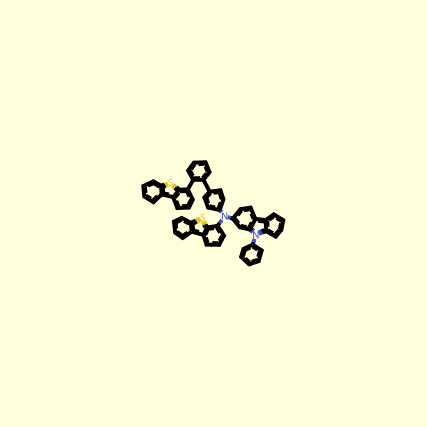 c1ccc(-n2c3ccccc3c3ccc(N(c4ccc(-c5ccccc5-c5cccc6c5sc5ccccc56)cc4)c4cccc5c4sc4ccccc45)cc32)cc1